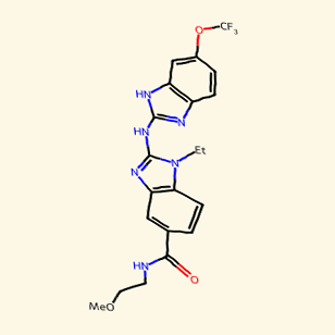 CCn1c(Nc2nc3ccc(OC(F)(F)F)cc3[nH]2)nc2cc(C(=O)NCCOC)ccc21